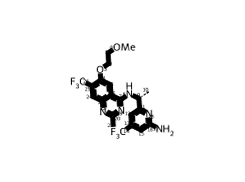 COCCOc1cc2c(N[C@H](C)c3cc(C(F)(F)F)cc(N)n3)nc(C)nc2cc1C(F)(F)F